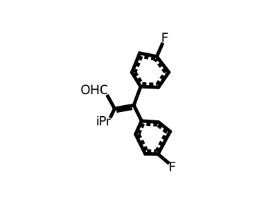 CC(C)C(C=O)=C(c1ccc(F)cc1)c1ccc(F)cc1